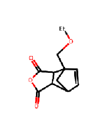 CCOCC12C=CC(C1)C1C(=O)OC(=O)C12